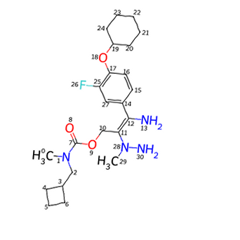 CN(CC1CCC1)C(=O)OC/C(=C(/N)c1ccc(OC2CCCCC2)c(F)c1)N(C)N